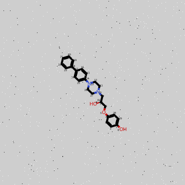 Oc1ccc(OC[C@@H](O)CN2CCN(c3ccc(-c4ccccc4)cc3)CC2)cc1